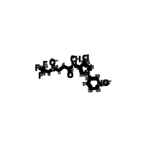 CN(C(=O)CC[S+]([O-])CC(F)(F)F)c1cn(-c2ccc[n+]([O-])c2)nc1Cl